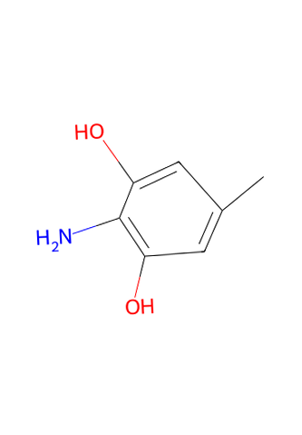 Cc1cc(O)c(N)c(O)c1